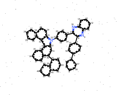 c1ccc(-c2ccc(-c3nc4ccccc4nc3-c3ccc(-n4c5ccc6ccccc6c5c5c6ccccc6c(-c6cccc7ccccc67)cc54)cc3)cc2)cc1